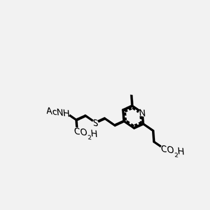 CC(=O)NC(CSCCc1cc(C)nc(CCC(=O)O)c1)C(=O)O